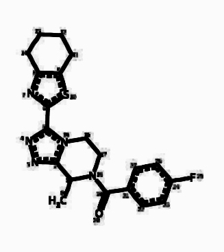 CC1c2nnc(-c3nc4c(s3)CCCC4)n2CCN1C(=O)c1ccc(F)cc1